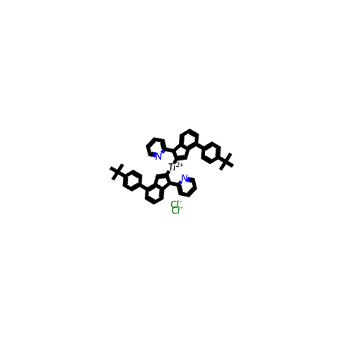 CC(C)(C)c1ccc(-c2cccc3c2C=[C]([Ti+2][C]2=Cc4c(-c5ccc(C(C)(C)C)cc5)cccc4C2c2ccccn2)C3c2ccccn2)cc1.[Cl-].[Cl-]